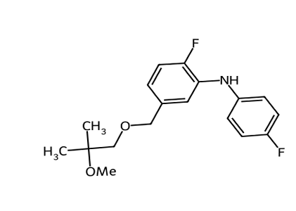 COC(C)(C)COCc1ccc(F)c(Nc2ccc(F)cc2)c1